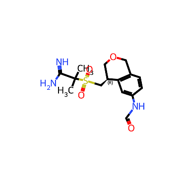 CC(C)(C(=N)N)S(=O)(=O)C[C@H]1COCc2ccc(NC=O)cc21